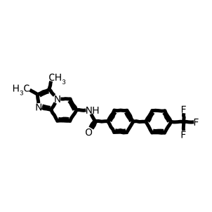 Cc1nc2ccc(NC(=O)c3ccc(-c4ccc(C(F)(F)F)cc4)cc3)cn2c1C